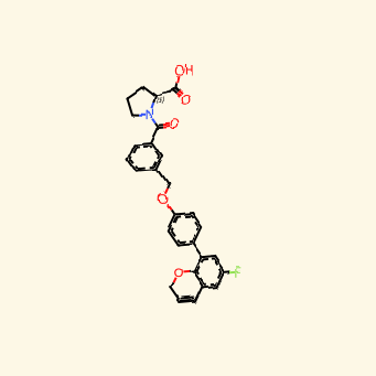 O=C(O)[C@@H]1CCCN1C(=O)c1cccc(COc2ccc(-c3cc(F)cc4c3OCC=C4)cc2)c1